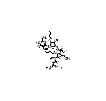 C=CN(C(=O)N=C(N)N)[C@@H]1O[C@H](CO)[C@H](P(=O)(O)OC[C@H]2O[C@@H](n3cnc4c(=O)[nH]c(N)nc43)C(OCCCC)[C@H]2O)C1OCCCC